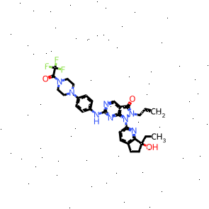 C=CCn1c(=O)c2cnc(Nc3ccc(N4CCN(C(=O)C(F)(F)F)CC4)cc3)nc2n1-c1ccc2c(n1)C(O)(CC)CC2